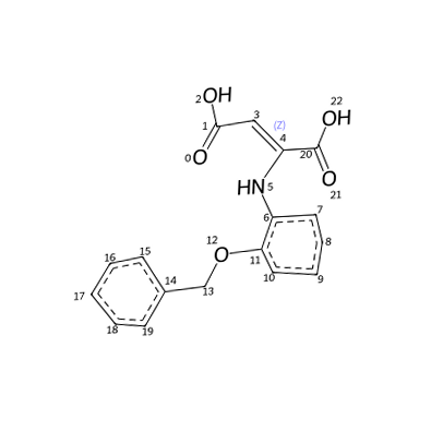 O=C(O)/C=C(\Nc1ccccc1OCc1ccccc1)C(=O)O